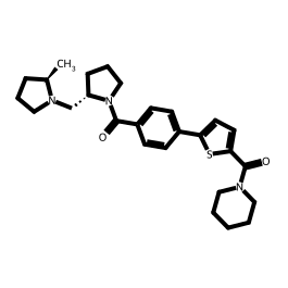 C[C@@H]1CCCN1C[C@@H]1CCCN1C(=O)c1ccc(-c2ccc(C(=O)N3CCCCC3)s2)cc1